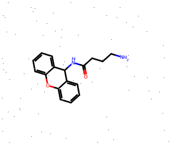 NCCCC(=O)NC1c2ccccc2Oc2ccccc21